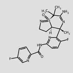 CC1(C)C(N)=N[C@](C)(c2nc(NC(=O)c3ccc(F)cn3)ccc2F)[C@H]2CCN=[S@]21=O